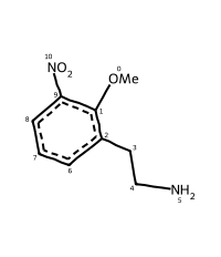 COc1c(CCN)cccc1[N+](=O)[O-]